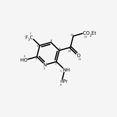 CCCNc1nc(O)c(C(F)(F)F)cc1C(=O)CC(=O)OCC